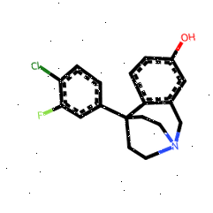 Oc1ccc2c(c1)CN1CCC2(c2ccc(Cl)c(F)c2)CC1